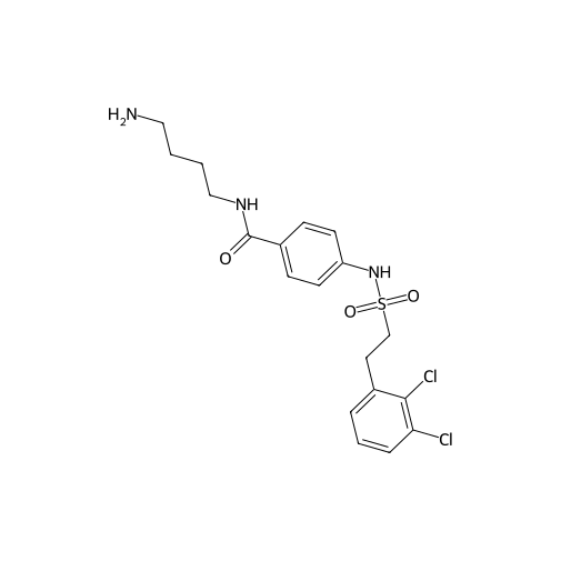 NCCCCNC(=O)c1ccc(NS(=O)(=O)CCc2cccc(Cl)c2Cl)cc1